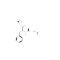 CC(C)COC(=O)N(N)C(Cc1ccccc1)C(C)OP(=O)(O)O